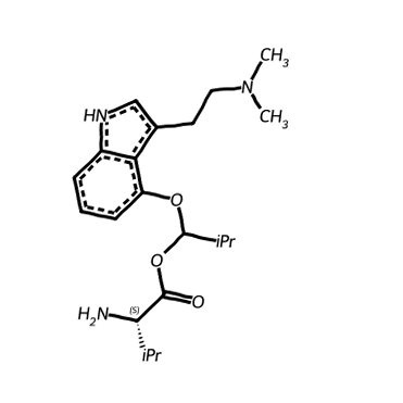 CC(C)C(OC(=O)[C@@H](N)C(C)C)Oc1cccc2[nH]cc(CCN(C)C)c12